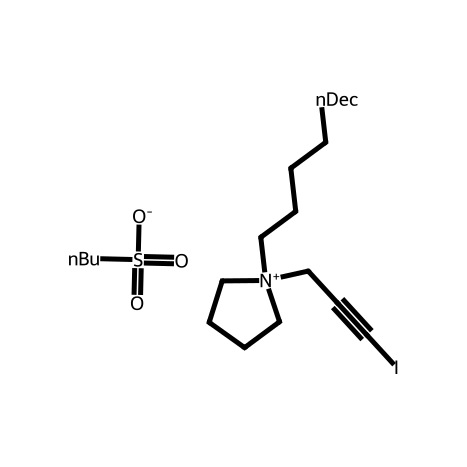 CCCCCCCCCCCCCC[N+]1(CC#CI)CCCC1.CCCCS(=O)(=O)[O-]